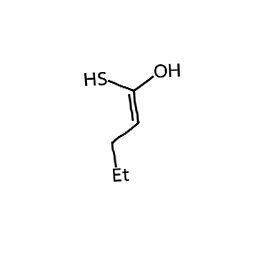 CCCC=C(O)S